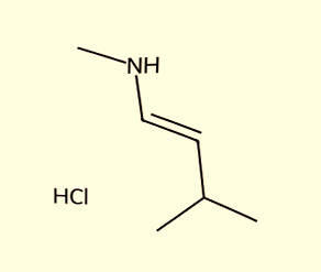 CNC=CC(C)C.Cl